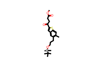 COC(=O)CCC(=O)c1cc2cc(CCCO[Si](C)(C)C(C)(C)C)c(C)cc2s1